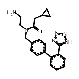 NCCN(Cc1ccc(-c2ccccc2-c2nnn[nH]2)cc1)C(=O)CC1CC1